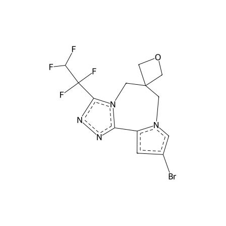 FC(F)C(F)(F)c1nnc2n1CC1(COC1)Cn1cc(Br)cc1-2